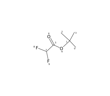 CC(C)(C)OC(=O)C(F)F